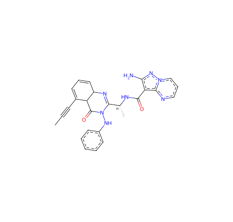 CC#CC1=CC=CC2N=C([C@@H](C)NC(=O)c3c(N)nn4cccnc34)N(Nc3ccccc3)C(=O)C12